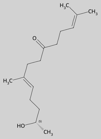 CC(C)=CCCC(=O)CCC(C)=CCC[C@H](C)O